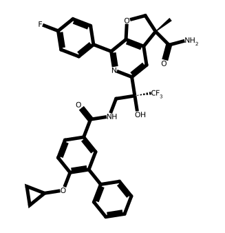 C[C@]1(C(N)=O)COc2c1cc([C@@](O)(CNC(=O)c1ccc(OC3CC3)c(-c3ccccc3)c1)C(F)(F)F)nc2-c1ccc(F)cc1